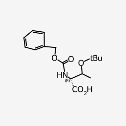 CC(OC(C)(C)C)[C@@H](NC(=O)OCc1ccccc1)C(=O)O